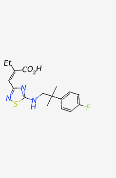 CCC(=Cc1nsc(NCC(C)(C)c2ccc(F)cc2)n1)C(=O)O